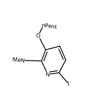 CCCCCOc1ccc(I)nc1NC